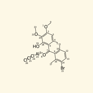 COc1cc(C)c(C(=O)c2c(C)ccc(Br)c2C)c(O)c1OC.[Al+3].[Cl-].[Cl-].[Cl-]